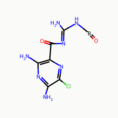 N/C(=N\C(=O)c1nc(Cl)c(N)nc1N)NB=O